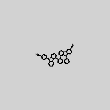 N#Cc1ccc(N2C3C=CC=CC3C3C(c4ccccc4-c4cccc5c6cc(C#N)ccc6n(-c6ccccc6)c45)=CC=CC32)cc1